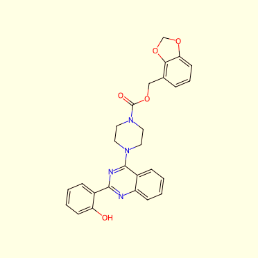 O=C(OCc1cccc2c1OCO2)N1CCN(c2nc(-c3ccccc3O)nc3ccccc23)CC1